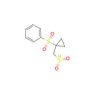 O=[SH](=O)CC1(S(=O)(=O)c2ccccc2)CC1